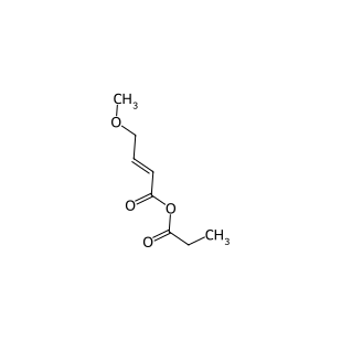 CCC(=O)OC(=O)C=CCOC